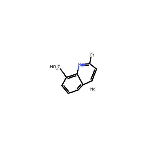 CCc1ccc2cccc(C(=O)O)c2n1.[Nd]